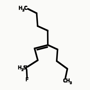 CCCCC(=CC[SiH2]F)CCCC